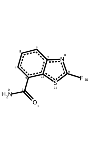 NC(=O)c1cccc2nc(F)sc12